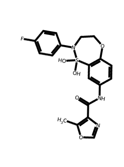 Cc1ocnc1C(=O)Nc1ccc2c(c1)S(O)(O)N(c1ccc(F)cc1)CCO2